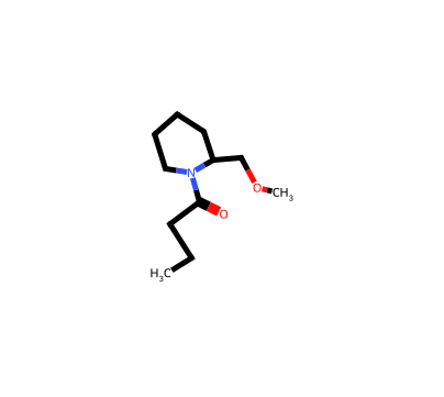 CCCC(=O)N1CCCCC1COC